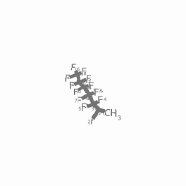 CC(I)C(F)(F)C(F)(F)C(F)(F)C(F)(F)C(F)(F)F